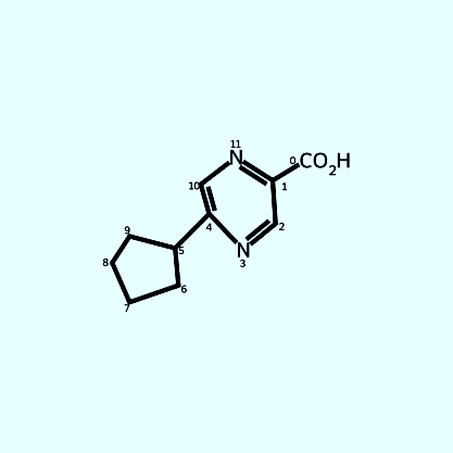 O=C(O)c1cnc(C2CCCC2)cn1